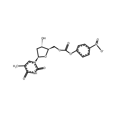 Cc1cn([C@H]2C[C@H](O)[C@@H](COC(=O)Oc3ccc([N+](=O)[O-])cc3)O2)c(=O)[nH]c1=O